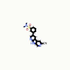 CN(C)S(=O)(=O)c1cccc(-c2cnc3[nH]c4cnc(C#N)cc4c3c2)c1